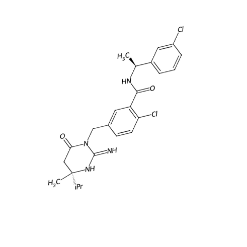 CC(C)[C@]1(C)CC(=O)N(Cc2ccc(Cl)c(C(=O)N[C@@H](C)c3cccc(Cl)c3)c2)C(=N)N1